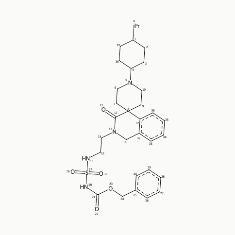 CC(C)C1CCC(N2CCC3(CC2)C(=O)N(CCNS(=O)(=O)NC(=O)OCc2ccccc2)Cc2ccccc23)CC1